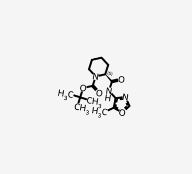 Cc1ocnc1NC(=O)[C@@H]1CCCCN1C(=O)OC(C)(C)C